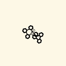 O=P1(c2ccccc2)c2ccccc2-c2ccccc2-c2ccccc2N1c1ccc2c3ccccc3c3ccccc3c2c1